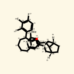 COc1cc(N2C[C@H]3CC[C@@H](C2)[C@@H]3Nc2nc3n(n2)CCCCC3c2ccc(F)c(F)c2F)ccn1